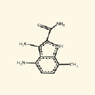 Cc1ccc(N)c2c(C)c(C(N)=O)[nH]c12